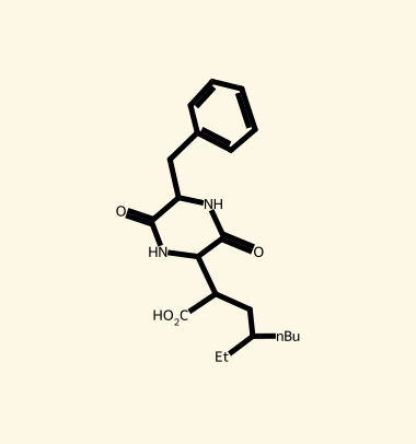 CCCCC(CC)CC(C(=O)O)C1NC(=O)C(Cc2ccccc2)NC1=O